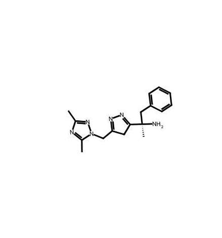 Cc1nc(C)n(CC2=NN=C([C@](C)(N)Cc3ccccc3)C2)n1